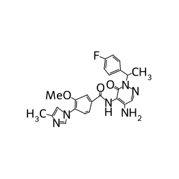 COc1cc(C(=O)Nc2c(N)cnn(C(C)c3ccc(F)cc3)c2=O)ccc1-n1cnc(C)c1